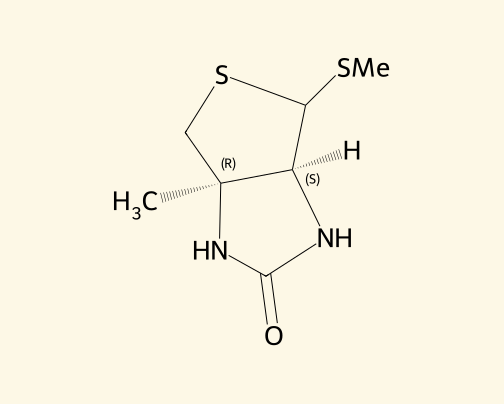 CSC1SC[C@]2(C)NC(=O)N[C@H]12